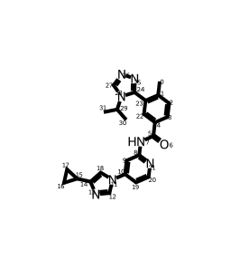 Cc1ccc(C(=O)Nc2cc(-n3cnc(C4CC4)c3)ccn2)cc1-c1nncn1C(C)C